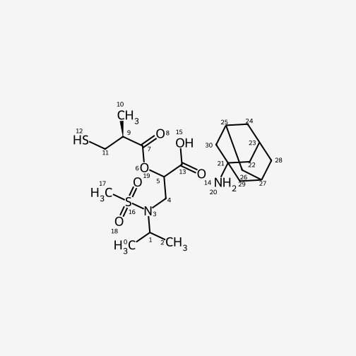 CC(C)N(CC(OC(=O)[C@H](C)CS)C(=O)O)S(C)(=O)=O.NC12CC3CC(CC(C3)C1)C2